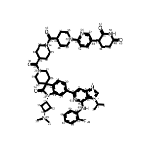 CC(C)n1cnc2cc(-c3ccc4c(c3)N([C@H]3C[C@@H](N(C)C)C3)C(=O)C43CCN(C(=O)C4CCN(C(=O)C5CCN(c6ccc(C7CCC(=O)NC7=O)cn6)CC5)CC4)CC3)nc(Nc3ccccc3F)c21